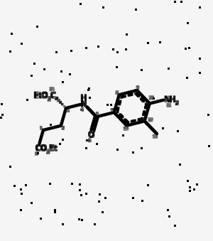 CCOC(=O)CC[C@@H](NC(=O)c1ccc(N)c(C)c1)C(=O)OCC